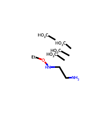 CC(=O)O.CC(=O)O.CC(=O)O.CC(=O)O.CCONCCN